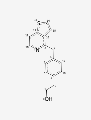 OCCc1ccc(Cc2nccc3sccc23)cc1